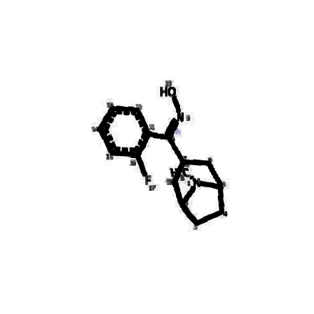 CN1C2CCC1CC(/C(=N/O)c1ccccc1F)C2